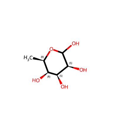 C[C@H]1OC(O)[C@@H](O)[C@@H](O)[C@H]1O